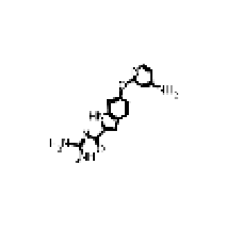 CNC(N)=NC(=O)c1cc2ccc(Oc3cc(N)ccn3)cc2[nH]1